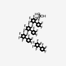 Fc1ccc(-c2c(F)c(F)c(F)c(F)c2F)c(F)c1F.Fc1ccc(-c2c(F)c(F)c(F)c(F)c2F)c(F)c1F.Fc1ccc(-c2c(F)c(F)c(F)c(F)c2F)c(F)c1F.Fc1ccc(-c2c(F)c(F)c(F)c(F)c2F)c(F)c1F.OB(O)O